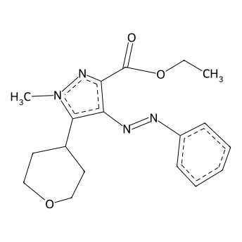 CCOC(=O)c1nn(C)c(C2CCOCC2)c1/N=N/c1ccccc1